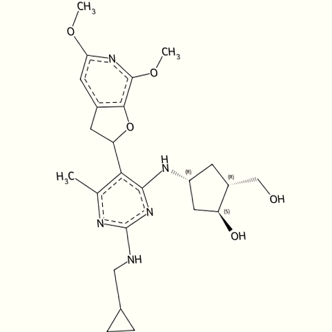 COc1cc2c(c(OC)n1)OC(c1c(C)nc(NCC3CC3)nc1N[C@@H]1C[C@H](CO)[C@@H](O)C1)C2